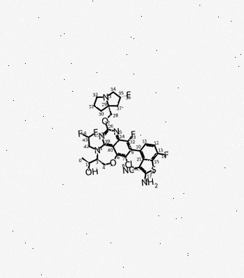 C[C@H](O)[C@@H]1COc2c(Cl)c(-c3ccc(F)c4sc(N)c(C#N)c34)c(F)c3nc(OC[C@@]45CCCN4C[C@H](F)C5)nc(c23)N1CC(F)F